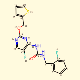 O=C(NCc1ccccc1F)Nc1nc(OCc2cccs2)ncc1F